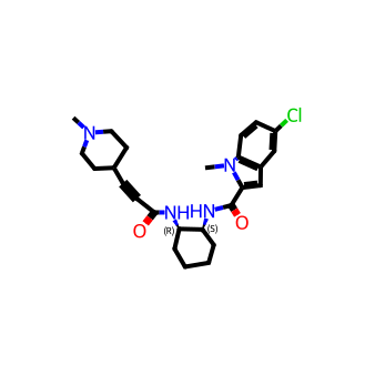 CN1CCC(C#CC(=O)N[C@@H]2CCCC[C@@H]2NC(=O)c2cc3cc(Cl)ccc3n2C)CC1